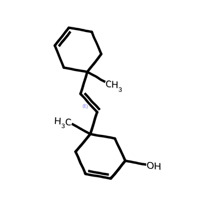 CC1(/C=C/C2(C)CC=CC(O)C2)CC=CCC1